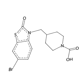 O=C(O)N1CCC(Cn2c(=O)sc3cc(Br)ccc32)CC1